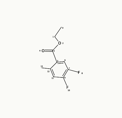 CCOC(=O)c1cc(F)c(F)cc1C